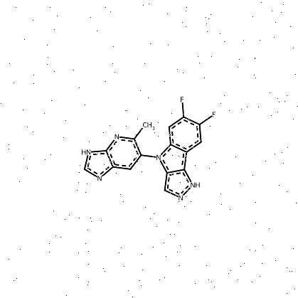 Cc1nc2[nH]cnc2cc1-n1c2cc(F)c(F)cc2c2[nH]ncc21